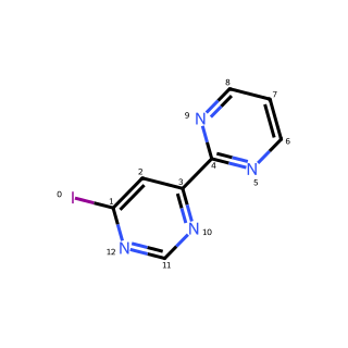 Ic1cc(-c2ncccn2)ncn1